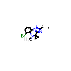 Cc1nc2n(n1)-c1cccc(Br)c1N(C)C21CC1